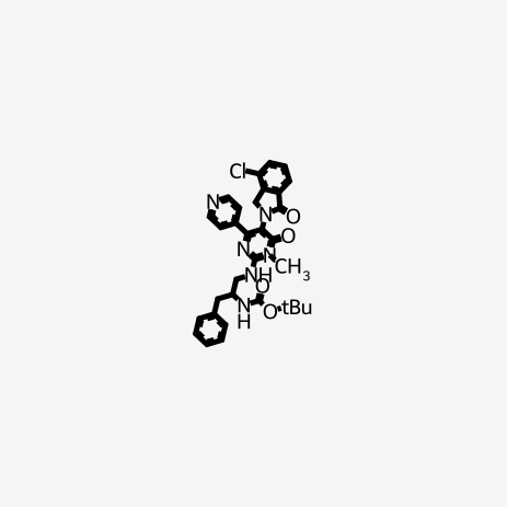 Cn1c(NCC(Cc2ccccc2)NC(=O)OC(C)(C)C)nc(-c2ccncc2)c(N2Cc3c(Cl)cccc3C2=O)c1=O